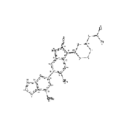 CCC(CC)CN1CCC[C@@H](n2c(=O)[nH]c3cc(-c4cc(OC)c5ncnn5c4)c(C(F)(F)F)cc32)C1